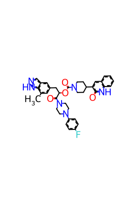 Cc1cc(CC(OC(=O)N2CCC(c3cc4ccccc4[nH]c3=O)CC2)C(=O)N2CCN(c3ccc(F)cc3)CC2)cc2cn[nH]c12